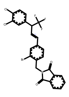 O=C1c2ccccc2C(=O)N1Cc1ccc(/C=C/C(c2ccc(Cl)c(Cl)c2)C(F)(F)F)cc1Br